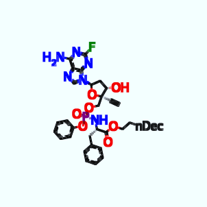 C#C[C@]1(CO[P@@](=O)(N[C@@H](Cc2ccccc2)C(=O)OCCCCCCCCCCCC)Oc2ccccc2)O[C@@H](n2cnc3c(N)nc(F)nc32)C[C@@H]1O